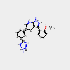 COc1ccccc1-c1n[nH]c2ncc(-c3cccc(-c4nn[nH]n4)c3)cc12